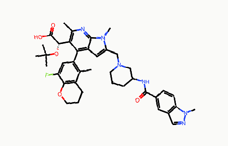 Cc1nc2c(cc(CN3CCCC(NC(=O)c4ccc5c(cnn5C)c4)C3)n2C)c(-c2cc(F)c3c(c2C)CCCO3)c1[C@H](OC(C)(C)C)C(=O)O